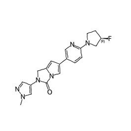 Cn1cc(N2Cc3cc(-c4ccc(N5CC[C@@H](F)C5)nc4)cn3C2=O)cn1